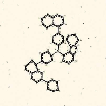 c1ccc(-c2ccc3cccc(-c4ccc(N(c5ccc(-c6cccc7ccccc67)cc5)c5cccc6sc7ccccc7c56)cc4)c3c2)cc1